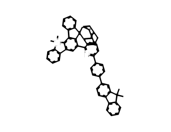 CC1(C)c2ccccc2-c2ccc(-c3ccc(-c4cccc(-c5cc6c(c7c5C5(c8ccccc8-7)C7CC8CC(C7)CC5C8)[Si](C)(C)c5ccccc5-6)n4)cc3)cc21